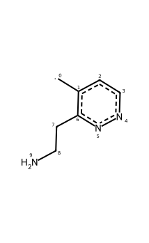 [CH2]c1ccnnc1CCN